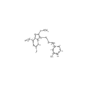 CCc1oc2c(C)cc(F)cc2c1CCNc1cc(Cl)ncn1